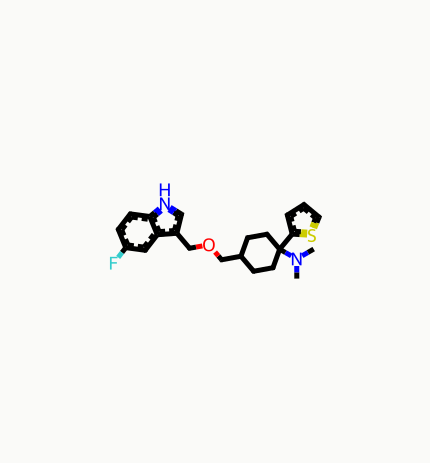 CN(C)C1(c2cccs2)CCC(COCc2c[nH]c3ccc(F)cc23)CC1